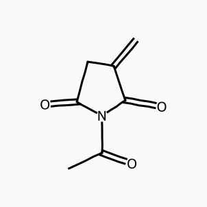 C=C1CC(=O)N(C(C)=O)C1=O